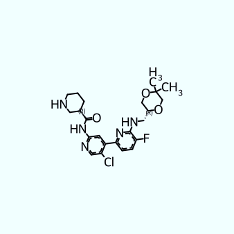 CC1(C)CO[C@H](CNc2nc(-c3cc(NC(=O)[C@@H]4CCCNC4)ncc3Cl)ccc2F)CO1